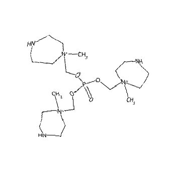 C[N+]1(COP(=O)(OC[N+]2(C)CCNCC2)OC[N+]2(C)CCNCC2)CCNCC1